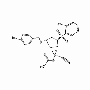 N#CC1(NC(=O)O)CC1.O=S(=O)(c1ccccc1Cl)[C@H]1CC[C@H](OCc2ccc(Br)cc2)C1